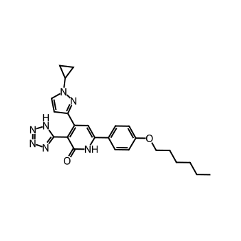 CCCCCCOc1ccc(-c2cc(-c3ccn(C4CC4)n3)c(-c3nnn[nH]3)c(=O)[nH]2)cc1